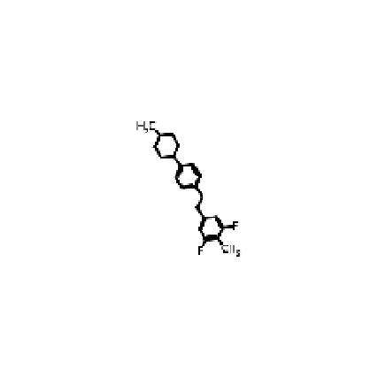 Cc1c(F)cc(CCc2ccc(C3CCC(C)CC3)cc2)cc1F